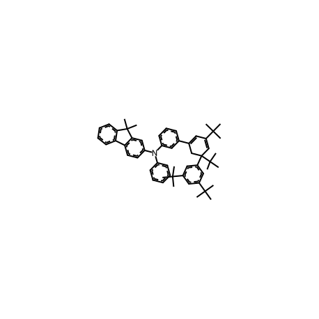 CC(C)(C)C1=CC(c2cc(C(C)(C)C)cc(C(C)(C)C)c2)(C(C)(C)C)CC(c2cccc(N(c3ccccc3)c3ccc4c(c3)C(C)(C)c3ccccc3-4)c2)=C1